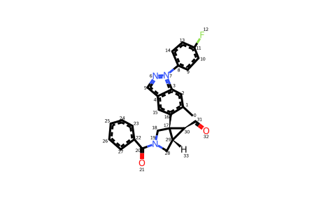 Cc1cc2c(cnn2-c2ccc(F)cc2)cc1[C@]12CN(C(=O)c3ccccc3)C[C@H]1[C@@H]2C=O